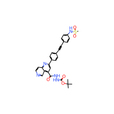 CC(C)(C)OC(=O)NNC(=O)c1cc(-c2ccc(C#Cc3ccc(NS(C)(=O)=O)cc3)cc2)nc2ccncc12